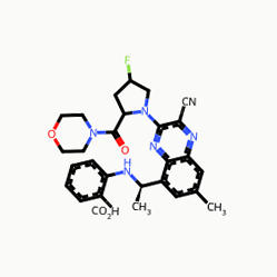 Cc1cc([C@@H](C)Nc2ccccc2C(=O)O)c2nc(N3CC(F)CC3C(=O)N3CCOCC3)c(C#N)nc2c1